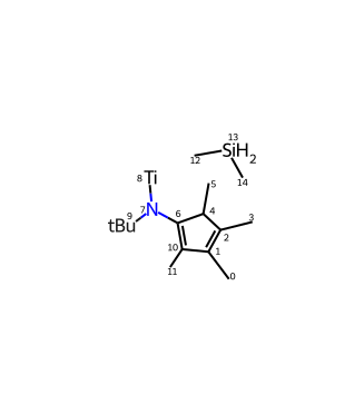 CC1=C(C)C(C)C([N]([Ti])C(C)(C)C)=C1C.C[SiH2]C